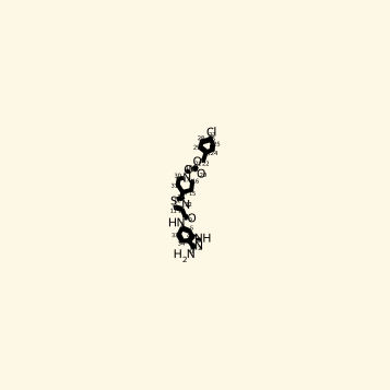 Nc1n[nH]c2cc(NC(=O)c3csc(C4CCN(OC(=O)OCc5ccc(Cl)cc5)CC4)n3)ccc12